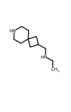 CCNCC1CC2(CCNCC2)C1